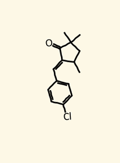 CC1CC(C)(C)C(=O)/C1=C/c1ccc(Cl)cc1